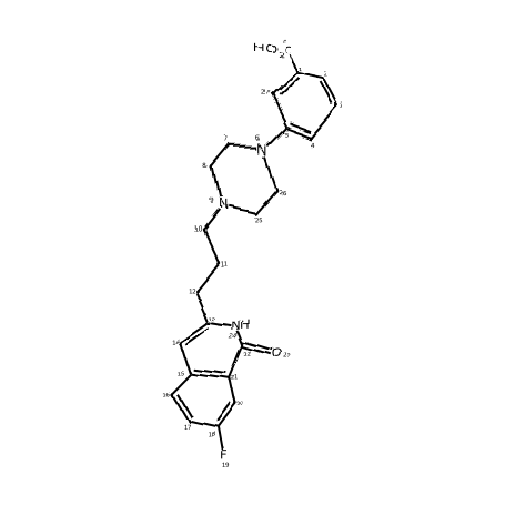 O=C(O)c1cccc(N2CCN(CCCc3cc4ccc(F)cc4c(=O)[nH]3)CC2)c1